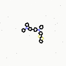 c1ccc(N(c2ccc(-c3ccc4c(c3)c3ccccc3n4-c3ccccc3)cc2)c2ccc3c(c2)sc2c4ccccc4sc32)cc1